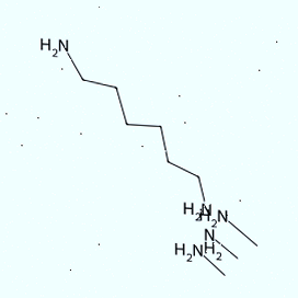 CN.CN.CN.NCCCCCCN